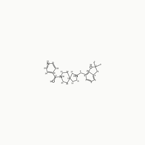 CC1(C)Cc2cccc(CN3CCC4(CCN(C(=O)c5ccncc5)CC4)C3)c2O1